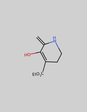 C=C1NCCC(C(=O)OCC)=C1O